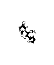 CC(C(=O)c1cccs1)n1cc(Cl)cnc1=O